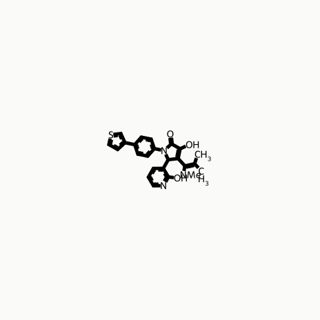 CNC(=C(C)C)C1=C(O)C(=O)N(c2ccc(-c3ccsc3)cc2)C1c1cccnc1O